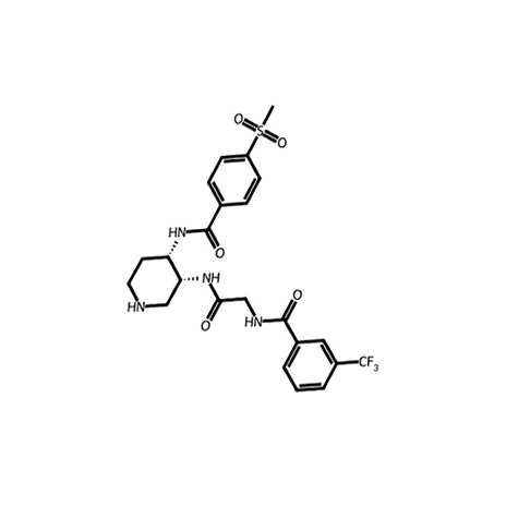 CS(=O)(=O)c1ccc(C(=O)N[C@H]2CCNC[C@H]2NC(=O)CNC(=O)c2cccc(C(F)(F)F)c2)cc1